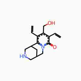 C=Cc1c(CO)c(C=C)c(=O)n2c1C1CNCC(C1)C2